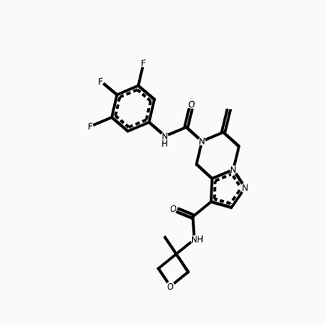 C=C1Cn2ncc(C(=O)NC3(C)COC3)c2CN1C(=O)Nc1cc(F)c(F)c(F)c1